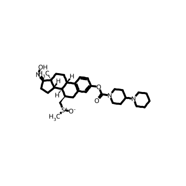 C[S+]([O-])C[C@@H]1Cc2cc(OC(=O)N3CCC(N4CCCCC4)CC3)ccc2[C@H]2CC[C@]3(C)/C(=N\O)CC[C@H]3[C@H]12